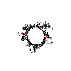 C#CC[C@H](NC(=O)CNC(=O)[C@@H]1CSCC(=O)N[C@@H](Cc2ccc(O)cc2)C(=O)N(C)[C@@H](C)C(=O)N[C@@H](CC(=O)O)C(=O)N2CCC[C@H]2C(=O)N[C@@H](Cc2c[nH]cn2)C(=O)N[C@@H](CCCCN)C(=O)N2C[C@H](O)C[C@H]2C(=O)N[C@@H](Cc2c[nH]c3ccccc23)C(=O)N[C@@H](CCCCN)C(=O)N[C@@H](Cc2c[nH]c3ccccc23)C(=O)N(C)[C@@H](CCCC)C(=O)N(C)[C@@H](CCCC)C(=O)N[C@@H](CCC(=O)O)C(=O)N1)C(N)=O